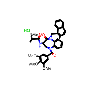 CNC(C)C(=O)NC1CN(C(=O)c2cc(OC)c(OC)c(OC)c2)c2ccccc2N(Cc2c(C)ccc3ccccc23)C1=O.Cl